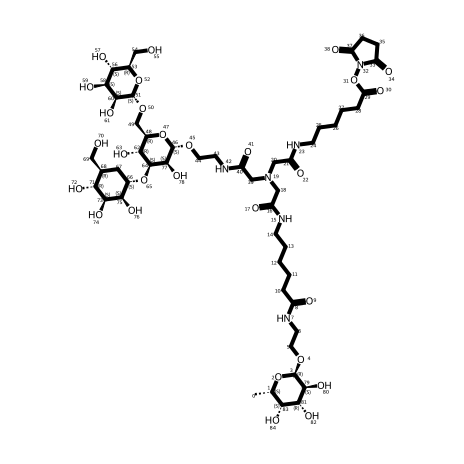 C[C@@H]1O[C@@H](OCCNC(=O)CCCCCNC(=O)CN(CC(=O)NCCCCCC(=O)ON2C(=O)CCC2=O)CC(=O)NCCO[C@H]2O[C@H](CO[C@H]3O[C@H](CO)[C@@H](O)[C@H](O)[C@@H]3O)[C@@H](O)[C@H](O[C@H]3C[C@H](CO)[C@@H](O)[C@H](O)[C@@H]3O)[C@@H]2O)[C@@H](O)[C@H](O)[C@@H]1O